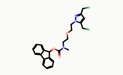 CN(CCOCCn1nc(CBr)cc1CBr)C(=O)OC1c2ccccc2-c2ccccc21